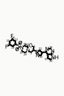 N#CCC(CN1CCN(S(=O)(=O)c2cc(F)cc(F)c2)CC1)n1cc(-c2ncnc3[nH]ccc23)cn1